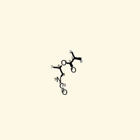 C=C(C)C(=O)OC(C)CN=C=O